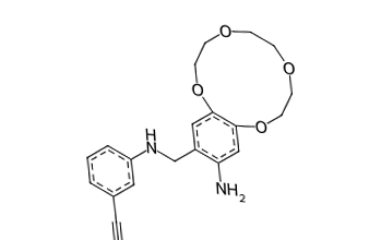 C#Cc1cccc(NCc2cc3c(cc2N)OCCOCCOCCO3)c1